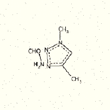 Cc1cn(C)nn1.NC=O